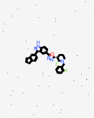 Fc1cccc(F)c1CN1CCC[C@@H](c2nnc(-c3ccc4[nH]nc(-c5ccc6c(c5)C=CC6)c4c3)o2)C1